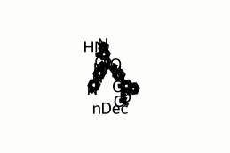 CCCCCCCCCCCC(=O)OCn1c(=O)c(C2CCN(C(=O)NC(Cc3cc(C)c4[nH]ncc4c3)C(=O)N3CCN(C4CCN(C)CC4)CC3)CC2)cc2ccccc21